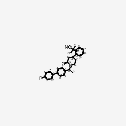 C[C@@H](c1ccc(-c2ccc(F)cc2)cc1)N1CC[C@](CC(C)(C)C#N)(c2ccccc2)CC1=O